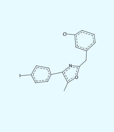 Cc1oc(Cc2cccc(Cl)c2)nc1-c1ccc(I)cc1